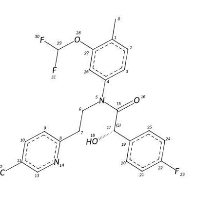 Cc1ccc(N(CCc2ccc(C(F)(F)F)cn2)C(=O)[C@@H](O)c2ccc(F)cc2)cc1OC(F)F